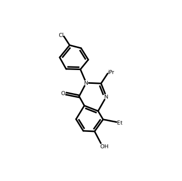 CCc1c(O)ccc2c(=O)n(-c3ccc(Cl)cc3)c(C(C)C)nc12